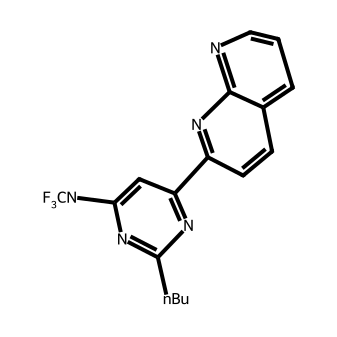 CCCCc1nc(NC(F)(F)F)cc(-c2ccc3cccnc3n2)n1